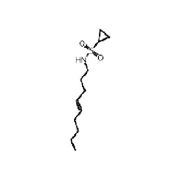 CCCCC=CCCCNS(=O)(=O)C1CC1